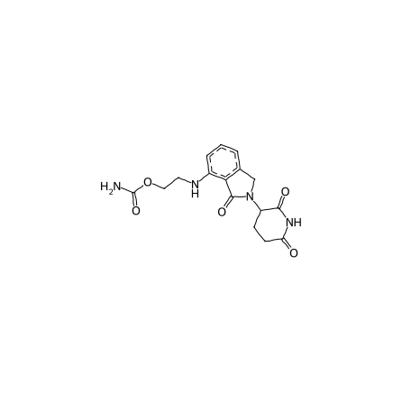 NC(=O)OCCNc1cccc2c1C(=O)N(C1CCC(=O)NC1=O)C2